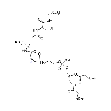 CCCCCCCCCCCC(=O)OC[C@H](COP(=O)(O)OCCNC(=O)/C=C\C(=O)N[C@@H](CCC(=O)NC(CS)C(=O)NCC(=O)O)C(=O)O)OC(=O)CCCCCCCCCCC